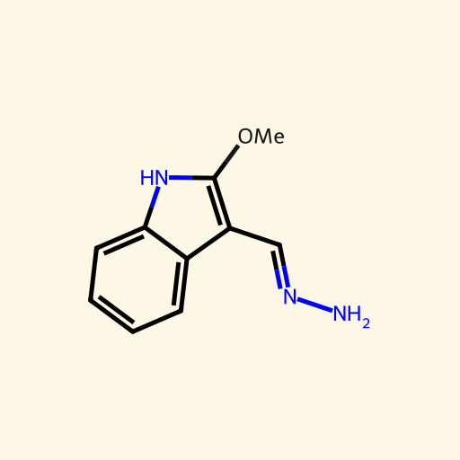 COc1[nH]c2ccccc2c1C=NN